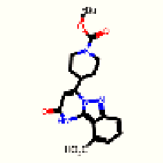 CC(C)(C)OC(=O)N1CCC(c2cc(=O)[nH]c3c4c(C(=O)O)cccc4nn23)CC1